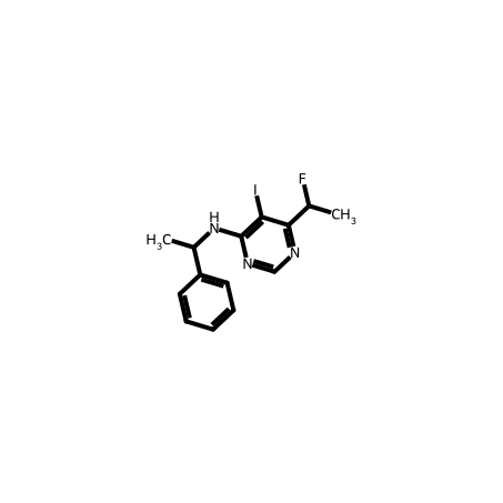 CC(F)c1ncnc(NC(C)c2ccccc2)c1I